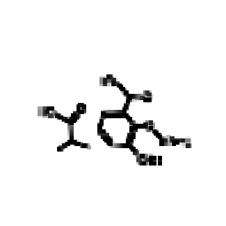 CC(C)C(=O)O.CCCCCOc1c(C=O)cccc1C(=O)CCC